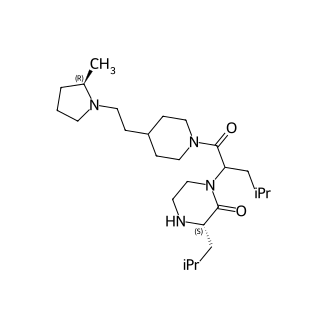 CC(C)CC(C(=O)N1CCC(CCN2CCC[C@H]2C)CC1)N1CCN[C@@H](CC(C)C)C1=O